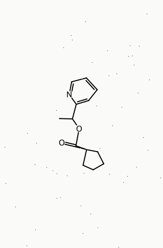 CC(OC(=O)C1CCCC1)c1ccccn1